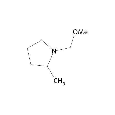 COCN1CCCC1C